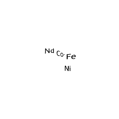 [Co].[Fe].[Nd].[Ni]